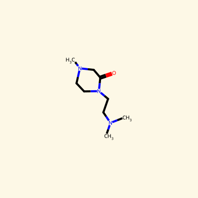 CN(C)CCN1CCN(C)CC1=O